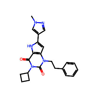 Cn1cc(-c2cc3c([nH]2)c(=O)n(C2CCC2)c(=O)n3CCc2ccccc2)cn1